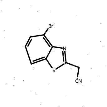 N#CCc1nc2c(Br)cccc2s1